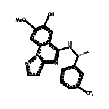 COc1cc2c(cc1O)c(N[C@H](C)c1cccc(C(F)(F)F)c1)nc1ccnn12